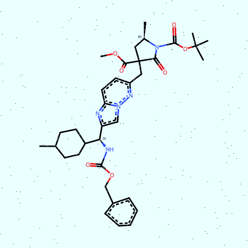 COC(=O)C1(Cc2ccc3nc([C@@H](NC(=O)OCc4ccccc4)C4CCC(C)CC4)cn3n2)C[C@@H](C)N(C(=O)OC(C)(C)C)C1=O